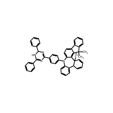 CC1(C)c2ccccc2-c2ccc3c(c21)C1(C)C=CC=CC1c1ccccc1N3c1ccc(C2=NC(c3ccccc3)NC(c3ccccc3)=N2)cc1